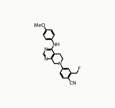 COc1ccc(Nc2ncnc3c2CCN(c2ccc(C#N)c(CF)c2)C3)cc1